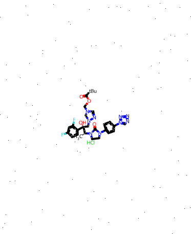 C[C@@H](N1CCN(c2ccc(-n3cnnn3)cc2)C1=O)[C@](O)(CN1CN(COC(=O)C(C)(C)C)C=N1)c1ccc(F)cc1F.Cl